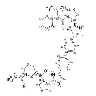 CN(C)[C@@H](C(=O)N1CCC[C@H]1c1ncc(-c2ccc(-c3ccc(-c4cnc([C@@H]5CCCN5C(=O)[C@@H]5CCCN(C(=O)OC(C)(C)C)C5)[nH]4)cc3)cc2)[nH]1)c1ccccc1